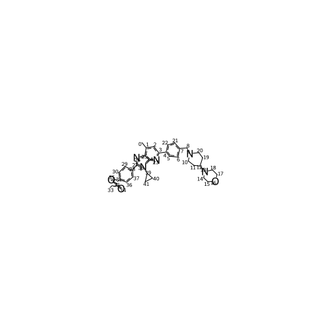 Cc1cc(-c2ccc(CN3CCC(N4CCOCC4)CC3)cc2)nc2c1nc(-c1ccc(S(C)(=O)=O)cc1)n2C1CC1